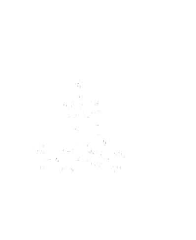 CC(=O)N1CCC(Cn2c(C(C)(C)C)nc3cc(S(=O)(=O)C(C)(C)C#N)ccc32)CC1